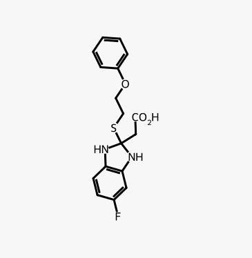 O=C(O)CC1(SCCOc2ccccc2)Nc2ccc(F)cc2N1